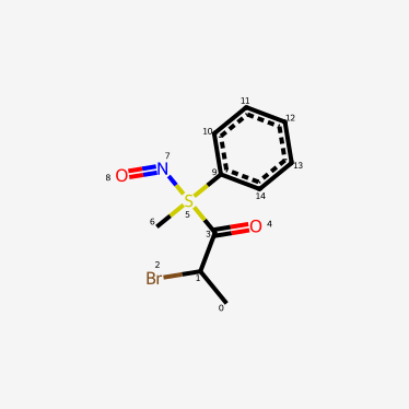 CC(Br)C(=O)S(C)(N=O)c1ccccc1